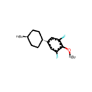 CCCCOc1c(F)cc([C@H]2CC[C@H](CCCC)CC2)cc1F